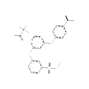 CNS(=O)(=O)c1cccc(Nc2cc(Nc3ccc(C(N)=O)cc3)ncn2)c1.O=C(O)C(F)(F)F